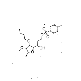 CCCCO[C@H]1[C@@H](OC)[C@H](C)O[C@@H]1[C@H](O)CCOS(=O)(=O)c1ccc(C)cc1